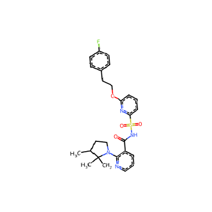 CC1CCN(c2ncccc2C(=O)NS(=O)(=O)c2cccc(OCCc3ccc(F)cc3)n2)C1(C)C